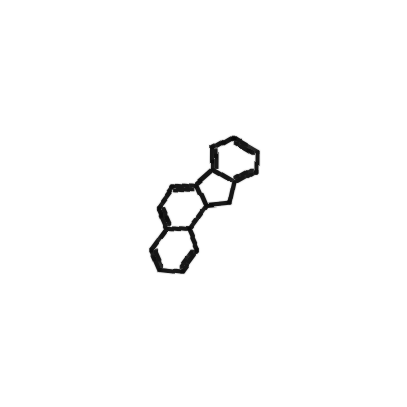 C1=CC2=CC=C3c4ccccc4CC3C2C=C1